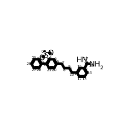 CS(=O)(=O)c1cc(CC[CH]Cc2cccc(C(=N)N)c2)ccc1-c1ccccc1